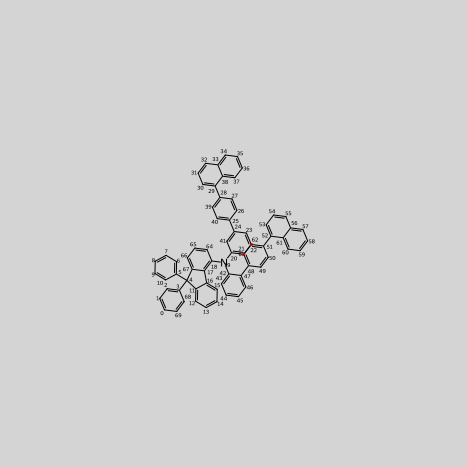 c1ccc(C2(c3ccccc3)c3ccccc3-c3c(N(c4cccc(-c5ccc(-c6cccc7ccccc67)cc5)c4)c4ccccc4-c4ccc(-c5cccc6ccccc56)cc4)cccc32)cc1